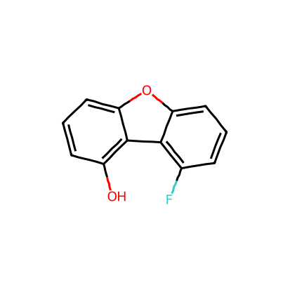 Oc1cccc2oc3cccc(F)c3c12